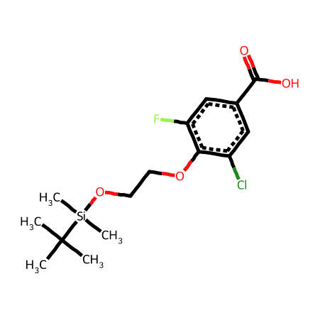 CC(C)(C)[Si](C)(C)OCCOc1c(F)cc(C(=O)O)cc1Cl